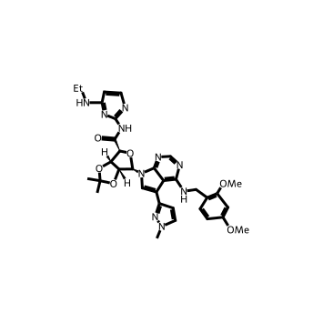 CCNc1ccnc(NC(=O)[C@H]2O[C@@H](n3cc(-c4ccn(C)n4)c4c(NCc5ccc(OC)cc5OC)ncnc43)[C@@H]3OC(C)(C)O[C@@H]32)n1